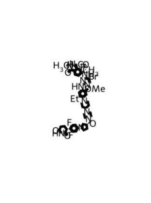 CCc1cc(Nc2ncc(Br)c(Nc3ccc4c(=O)n(C)ncc4c3P(C)(C)=O)n2)c(OC)cc1N1CCC(N2CCN(C(=O)[C@@H]3CCN(c4cc(F)c([C@H]5CCC(=O)NC5=O)c(F)c4)C3)CC2)CC1